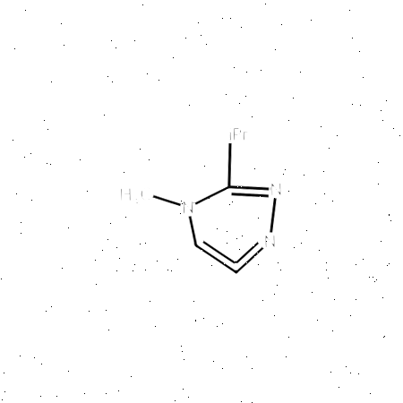 CC(C)C1=NN=C=CN1C